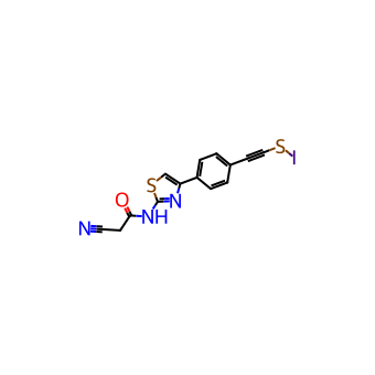 N#CCC(=O)Nc1nc(-c2ccc(C#CSI)cc2)cs1